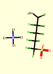 CCCCC(F)C(F)(F)C(F)(F)C(F)(F)C(F)(F)S(=O)(=O)[O-].CC[N+](CC)(CC)CC